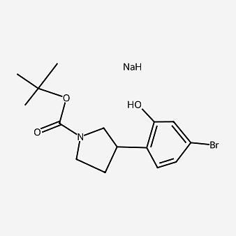 CC(C)(C)OC(=O)N1CCC(c2ccc(Br)cc2O)C1.[NaH]